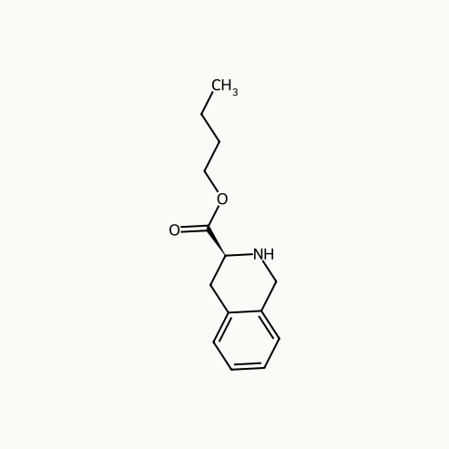 CCCCOC(=O)[C@@H]1Cc2ccccc2CN1